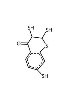 O=C1c2ccc(S)cc2SC(S)C1S